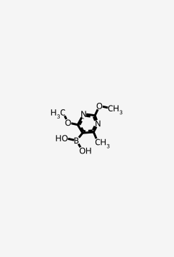 COc1nc(C)c(B(O)O)c(OC)n1